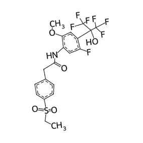 CCS(=O)(=O)c1ccc(CC(=O)Nc2cc(F)c(C(O)(C(F)(F)F)C(F)(F)F)cc2OC)cc1